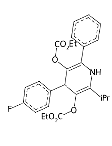 CCOC(=O)OC1=C(c2ccccc2)NC(C(C)C)=C(OC(=O)OCC)C1c1ccc(F)cc1